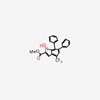 COC(=O)c1cc2c(C(F)(F)F)cc(-c3ccccc3)c(-c3ccccc3)c2n1O